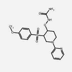 NC(=O)NOC1CCN(c2ccccn2)CC1S(=O)(=O)c1ccc(OC(F)(F)F)cc1